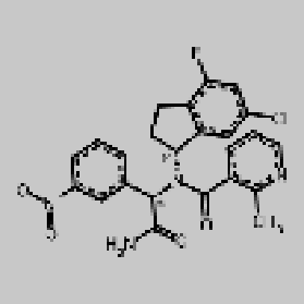 Cc1ncccc1C(=O)N([C@@H]1CCc2c(F)cc(Cl)cc21)[C@@H](C(N)=O)c1cccc([N+](=O)[O-])c1